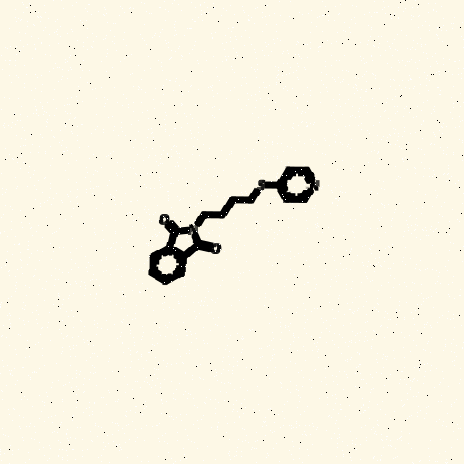 O=C1c2ccccc2C(=O)N1CCCCSc1ccncc1